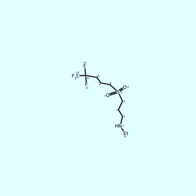 CCNCCCS(=O)(=O)CCCC(F)(F)C(F)(F)F